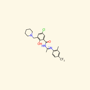 C/C(=N\c1ccc(C(F)(F)F)cc1C)NC(=O)c1cc(Cl)cc(CN2CCCCC2)c1O